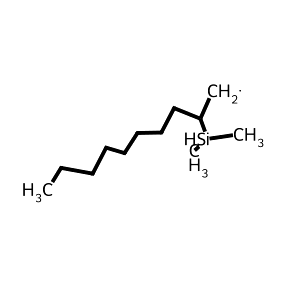 [CH2]C(CCCCCCCC)[SiH](C)C